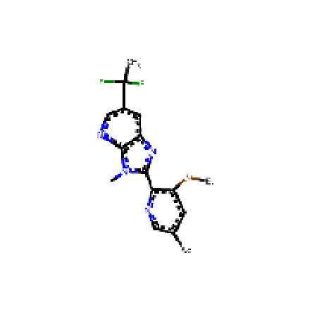 CCSc1cc(C(C)=O)cnc1-c1nc2cc(C(F)(F)C(F)(F)F)cnc2n1C